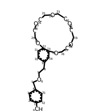 Cc1ccc(COCCc2ccc3c(c2)OCCOCCOCCOCCOCCO3)cc1